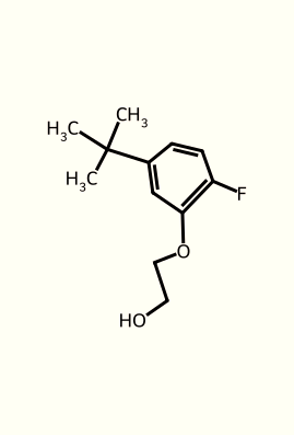 CC(C)(C)c1ccc(F)c(OCCO)c1